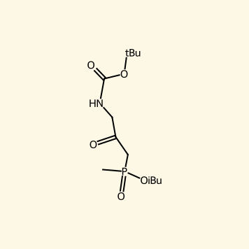 CC(C)COP(C)(=O)CC(=O)CNC(=O)OC(C)(C)C